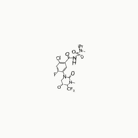 CC(C)N(C)S(=O)(=O)NC(=O)c1cc(N2CC(=O)C(C(F)(F)F)N(C)C2=O)c(F)cc1Cl